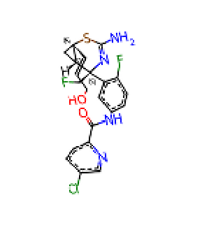 NC1=N[C@](CF)(c2cc(NC(=O)c3ccc(Cl)cn3)ccc2F)[C@@H]2C[C@]2(C=CCO)S1